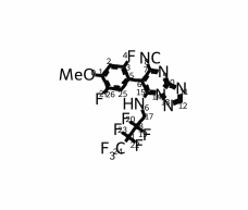 COc1cc(F)c(-c2c(C#N)nc3ncnn3c2NCC(F)(F)C(F)(F)C(F)(F)F)cc1F